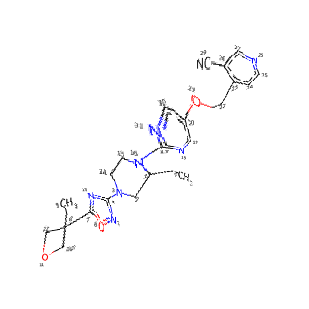 CC1CN(c2noc(C3(C)COC3)n2)CCN1c1ncc(OCc2ccncc2C#N)cn1